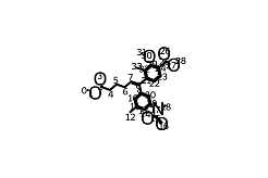 COC(=O)CCC/C=C(\c1cc(C)c2oc(=O)n(C)c2c1)c1ccc(C(=O)OC)c(OC)c1C